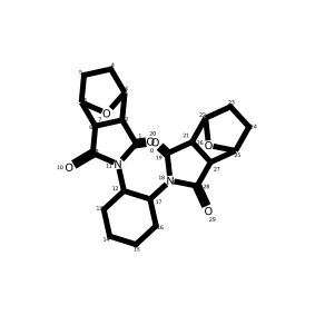 O=C1C2C3CCC(O3)C2C(=O)N1C1CCCCC1N1C(=O)C2C3CCC(O3)C2C1=O